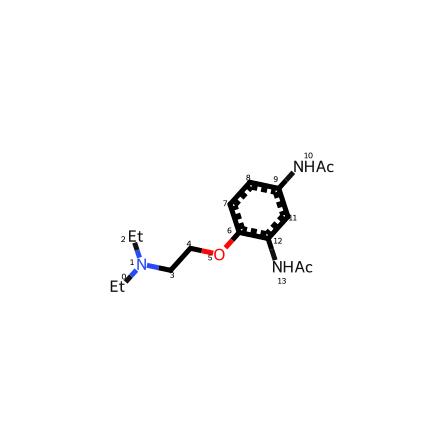 CCN(CC)CCOc1ccc(NC(C)=O)cc1NC(C)=O